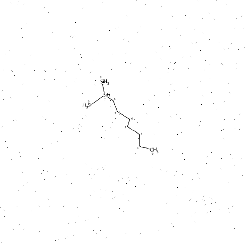 CCCCCCC[SiH]([SiH3])[SiH3]